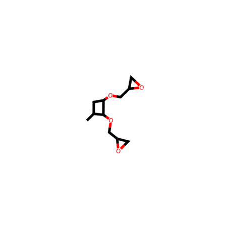 CC1CC(OCC2CO2)C1OCC1CO1